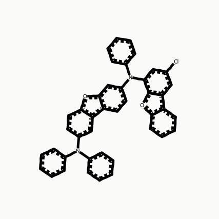 Clc1cc(N(c2ccccc2)c2ccc3c(c2)oc2ccc(N(c4ccccc4)c4ccccc4)cc23)c2oc3ccccc3c2c1